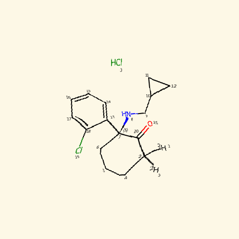 Cl.[2H]C1([2H])CCC[C@](NCC2CC2)(c2ccccc2Cl)C1=O